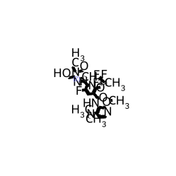 CCN(C=O)/C(CO)=N\N(C)c1nc(O[C@@H](C)C(F)(F)F)c(C(=O)Nc2c(N(C)C)ccnc2OC)cc1F